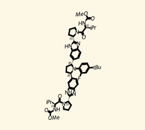 COC(=O)N[C@H](C(=O)N1CCC[C@H]1c1nc2ccc([C@H]3CC[C@H](c4ccc5nc([C@@H]6CCCN6C(=O)[C@@H](NC(=O)OC)C(C)C)[nH]c5c4)N3c3ccc(C(C)(C)C)cc3F)cc2[nH]1)C(C)C